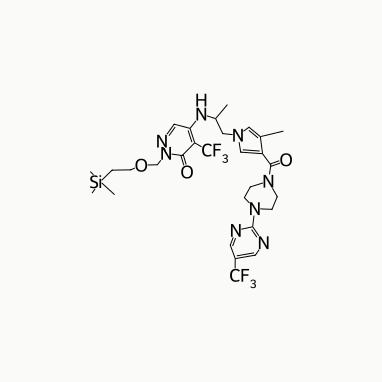 Cc1cn(CC(C)Nc2cnn(COCC[Si](C)(C)C)c(=O)c2C(F)(F)F)cc1C(=O)N1CCN(c2ncc(C(F)(F)F)cn2)CC1